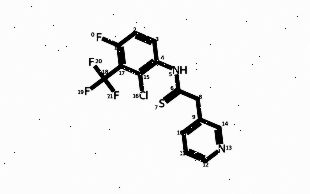 Fc1ccc(NC(=S)Cc2cccnc2)c(Cl)c1C(F)(F)F